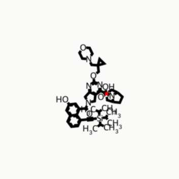 CC(C)[Si](C#Cc1cccc2cc(O)cc(C(=O)N3Cc4nc(OCC5(CN6CCOCC6)CC5)nc(N5CC6CCC(C5)N6C(=O)O)c4C3)c12)(C(C)C)C(C)C